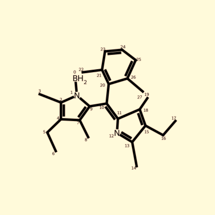 Bn1c(C)c(CC)c(C)c1/C(=C1\N=C(C)C(CC)=C1C)c1c(C)cccc1C